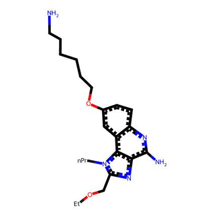 CCCn1c(COCC)nc2c(N)nc3ccc(OCCCCCCN)cc3c21